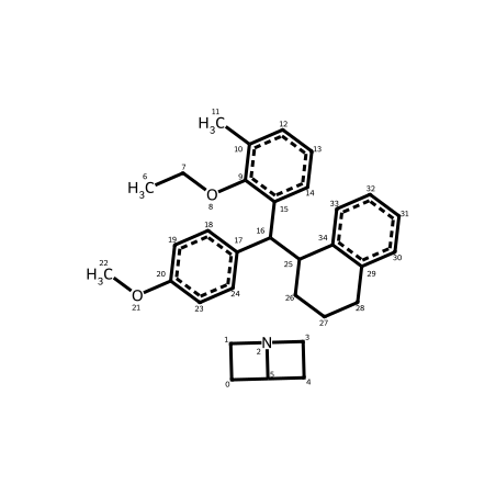 C1CN2CCC12.CCOc1c(C)cccc1C(c1ccc(OC)cc1)C1CCCc2ccccc21